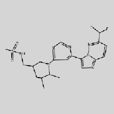 CC1CC(CNS(C)(=O)=O)CN(c2cc(-c3cnc4ccc(C(F)F)nn34)ncn2)C1C